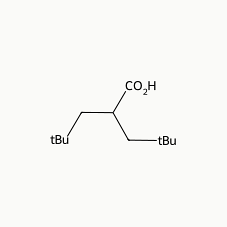 CC(C)(C)CC(CC(C)(C)C)C(=O)O